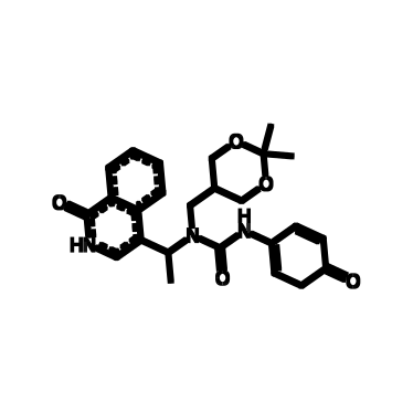 CC(c1c[nH]c(=O)c2ccccc12)N(CC1COC(C)(C)OC1)C(=O)NC1=CCC(=O)C=C1